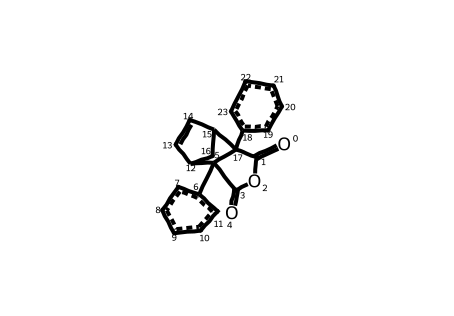 O=C1OC(=O)C2(c3ccccc3)C3C=CC(C3)C12c1ccccc1